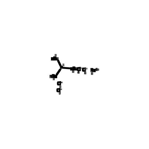 CCCCP(CCCC)CCCC.[Cl-].[Cl-].[Cl-].[Cl-].[Ru+4]